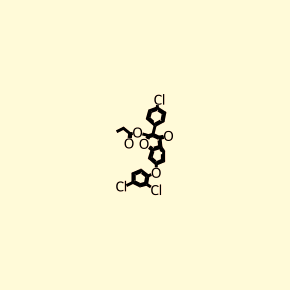 CCC(=O)Oc1oc2cc(Oc3ccc(Cl)cc3Cl)ccc2c(=O)c1-c1ccc(Cl)cc1